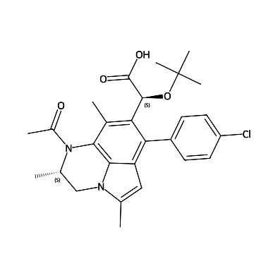 CC(=O)N1c2c(C)c([C@H](OC(C)(C)C)C(=O)O)c(-c3ccc(Cl)cc3)c3cc(C)n(c23)C[C@@H]1C